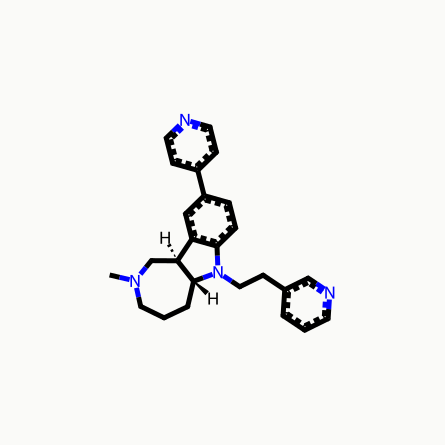 CN1CCC[C@@H]2[C@@H](C1)c1cc(-c3ccncc3)ccc1N2CCc1cccnc1